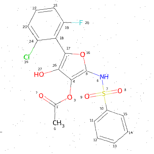 CC(=O)Oc1c(NS(=O)(=O)c2ccccc2)oc(-c2c(F)cccc2Cl)c1O